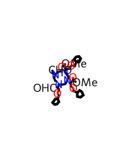 COC(=O)C(COCc1ccccc1)N1CCN(CC=O)CCN(C(C=O)COCc2ccccc2)CCN(C(COCc2ccccc2)C(=O)OC)CC1